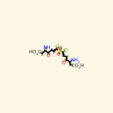 N[C@@H](CC(=O)O)C(=O)CC=C(Cl)S(=O)(=O)C(Cl)=CCC(=O)[C@@H](N)CC(=O)O